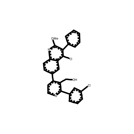 COc1nc2ccc(-c3ccnc(-c4cccc(Cl)c4)c3CO)cc2c(Cl)c1-c1ccccc1